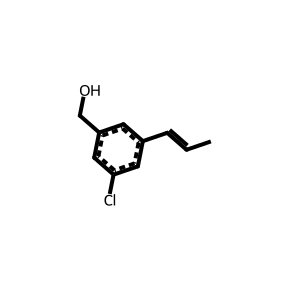 CC=Cc1cc(Cl)cc(CO)c1